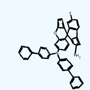 Fc1ccc2c(c1)C1(c3ccccc3Oc3cc(N(c4ccc(-c5ccccc5)cc4)c4ccc(-c5ccccc5)cc4)ccc31)c1cc(P)ccc1-2